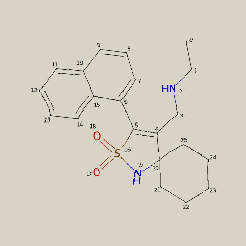 CCNCC1=C(c2cccc3ccccc23)S(=O)(=O)NC12CCCCC2